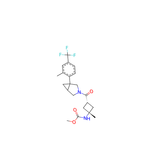 COC(=O)N[C@]1(C)C[C@H](C(=O)N2CC3CC3(c3ccc(C(F)(F)F)cc3C)C2)C1